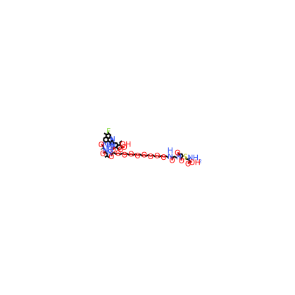 CC[C@@]1(O)C(=O)OCc2c1cc1n(c2=O)Cc2c-1nc1cc(F)c(C)c3c1c2[C@@H](NC(=O)[C@H](C)NC(=O)[C@@H](NC(=O)CCOCCOCCOCCOCCOCCOCCOCCOCCNC(=O)CCN1C(=O)CC(SCC(N)C(=O)O)C1=O)C(C)C)CC3